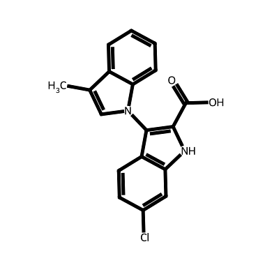 Cc1cn(-c2c(C(=O)O)[nH]c3cc(Cl)ccc23)c2ccccc12